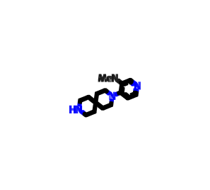 CNc1cnccc1N1CCC2(CCNCC2)CC1